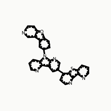 c1cnc2c(c1)sc1c(-c3cnc4c(c3)c3ncccc3n4-c3ccc4oc5ccncc5c4c3)ccnc12